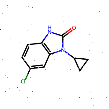 O=c1[nH]c2ccc(Cl)cc2n1C1CC1